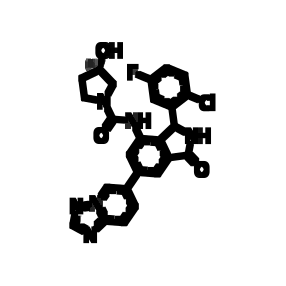 O=C1NC(c2cc(F)ccc2Cl)c2c(NC(=O)N3CC[C@@H](O)C3)cc(-c3ccc4ncnn4c3)cc21